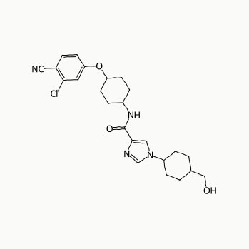 N#Cc1ccc(OC2CCC(NC(=O)c3cn(C4CCC(CO)CC4)cn3)CC2)cc1Cl